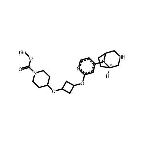 CC(C)(C)OC(=O)N1CCC(OC2CC(Oc3cc(N4C5CC[C@@H]4CNC5)ccn3)C2)CC1